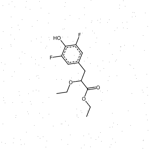 CCOC(=O)C(Cc1cc(F)c(O)c(F)c1)OCC